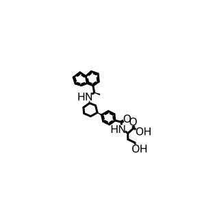 C[C@@H](N[C@H]1CCC[C@H](c2ccc(C(=O)NC(CCO)C(=O)O)cc2)C1)c1cccc2ccccc12